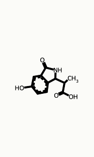 CC(C(=O)O)C1NC(=O)c2cc(O)ccc21